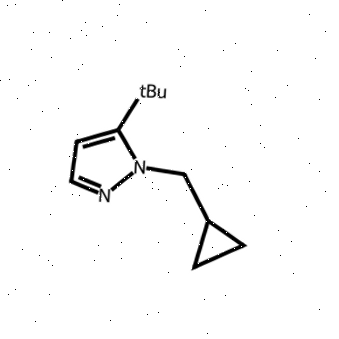 CC(C)(C)c1ccnn1CC1CC1